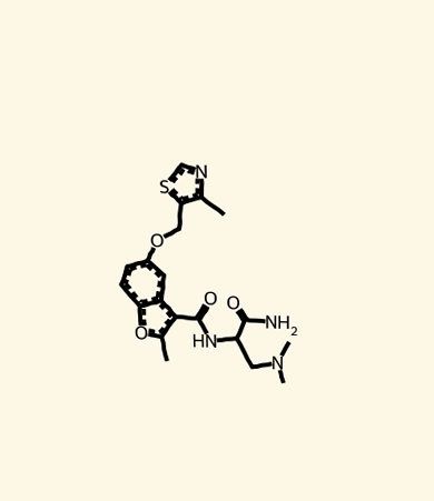 Cc1ncsc1COc1ccc2oc(C)c(C(=O)NC(CN(C)C)C(N)=O)c2c1